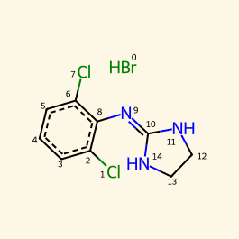 Br.Clc1cccc(Cl)c1N=C1NCCN1